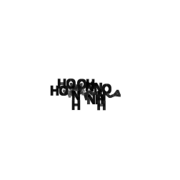 O=C(CC1CC1)Nc1ncnc2c([C@@H]3N[C@H](CO)[C@@H](O)[C@H]3O)c[nH]c12